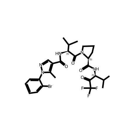 Cc1c(C(=O)N[C@H](C(=O)N2CCC[C@H]2C(=O)N[C@H](C(=O)C(F)(F)F)C(C)C)C(C)C)cnn1-c1ccccc1Br